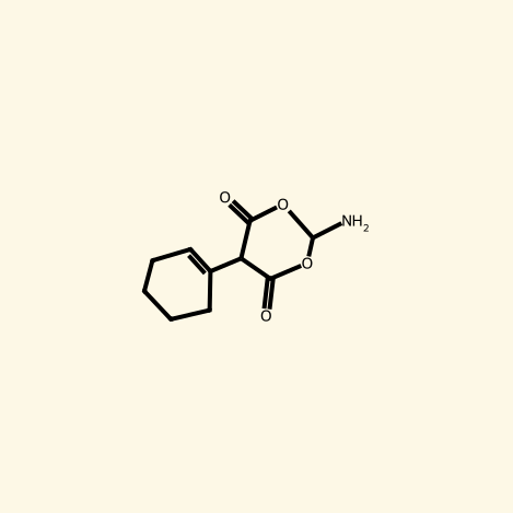 NC1OC(=O)C(C2=CCCCC2)C(=O)O1